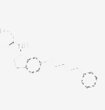 CC(C)(C)OC(=O)N[C@@H]1CCc2ccc(OCCOCc3ccccc3)cc21